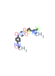 Cc1nc(-c2ccc(C(=O)N3CCN(S(=O)(=O)c4ccc(-c5cc(C(F)(F)F)n(C)n5)s4)CC3)cc2)no1